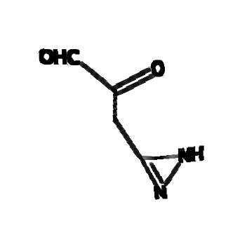 O=CC(=O)CC1=NN1